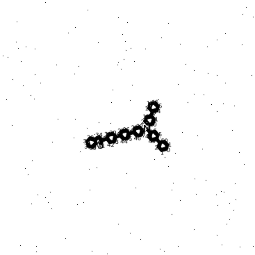 c1ccc(-c2ccc(N(c3ccc(-c4ccccc4)cc3)c3ccc(-c4ccc(-c5ccc(-c6cc7ccccc7s6)cc5)cc4)cc3)cc2)cc1